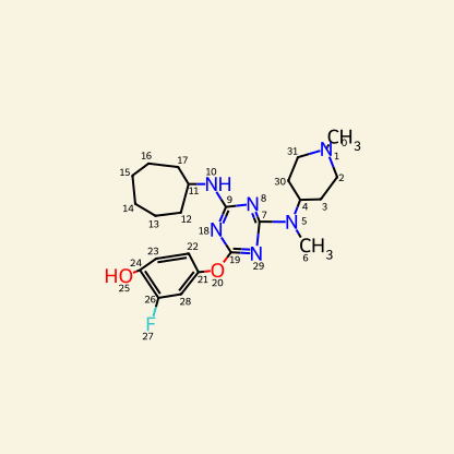 CN1CCC(N(C)c2nc(NC3CCCCCC3)nc(Oc3ccc(O)c(F)c3)n2)CC1